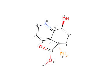 COC(=O)[C@]1(P)CC[C@H](O)c2ncccc21